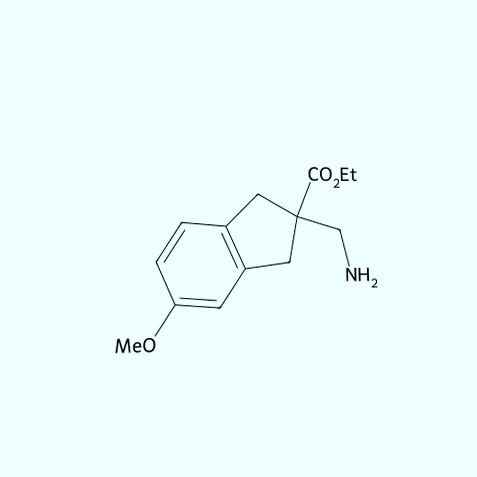 CCOC(=O)C1(CN)Cc2ccc(OC)cc2C1